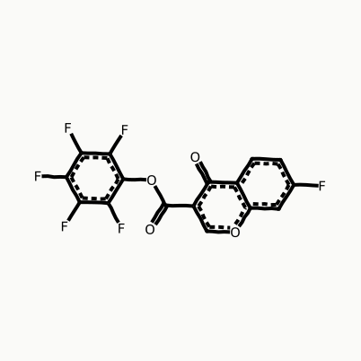 O=C(Oc1c(F)c(F)c(F)c(F)c1F)c1coc2cc(F)ccc2c1=O